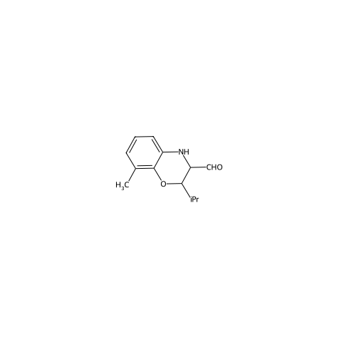 Cc1cccc2c1OC(C(C)C)C(C=O)N2